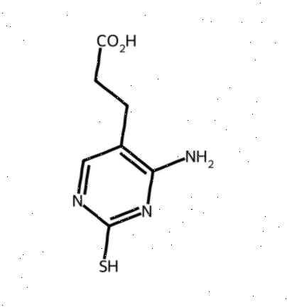 Nc1nc(S)ncc1CCC(=O)O